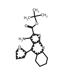 CC(C)(C)OC(=O)c1sc2nc3c(c(-c4ccco4)c2c1N)CCCC3